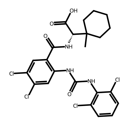 CC1([C@H](NC(=O)c2cc(Cl)c(Cl)cc2NC(=O)Nc2c(Cl)cccc2Cl)C(=O)O)CCCCC1